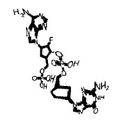 Nc1nc2c(ncn2C2CCC(COP(=O)(O)O[C@@H]3C(COP(=O)(O)O)CC(n4cnc5c(N)ncnc54)C3F)C2)c(=O)[nH]1